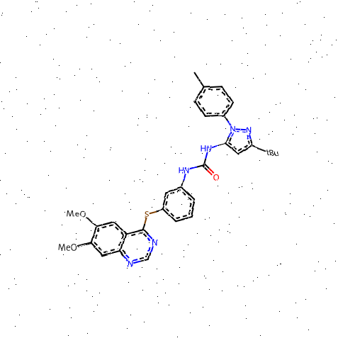 COc1cc2ncnc(Sc3cccc(NC(=O)Nc4cc(C(C)(C)C)nn4-c4ccc(C)cc4)c3)c2cc1OC